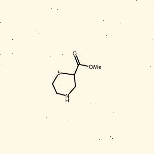 COC(=O)C1CNCCS1